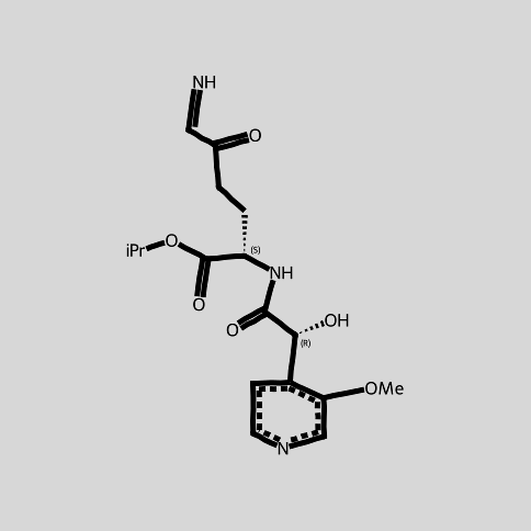 COc1cnccc1[C@@H](O)C(=O)N[C@@H](CCC(=O)C=N)C(=O)OC(C)C